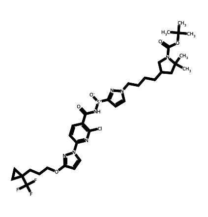 CC(C)(C)OC(=O)N1CC(CCCCn2ccc([S+]([O-])NC(=O)c3ccc(-n4ccc(OCCCC5(C(F)(F)F)CC5)n4)nc3Cl)n2)CC1(C)C